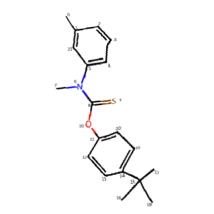 Cc1cccc(N(C)C(=S)Oc2ccc(C(C)(C)C)cc2)c1